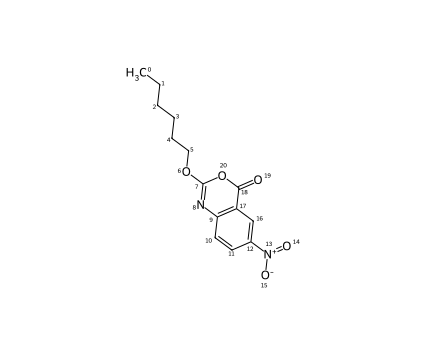 CCCCCCOc1nc2ccc([N+](=O)[O-])cc2c(=O)o1